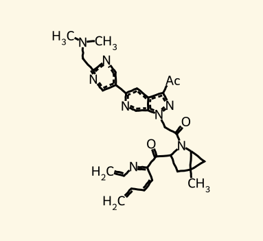 C=C/C=C\C(=N/C=C)C(=O)C1CC2(C)CC2N1C(=O)Cn1nc(C(C)=O)c2cc(-c3cnc(CN(C)C)nc3)ncc21